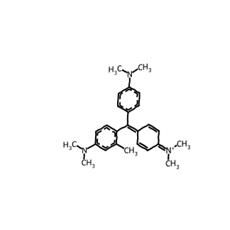 Cc1cc(N(C)C)ccc1C(=C1C=CC(=[N+](C)C)C=C1)c1ccc(N(C)C)cc1